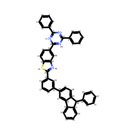 c1ccc(-c2nc(-c3ccccc3)nc(-c3ccc4sc(-c5cccc(-c6ccc7c(c6)-c6ccccc6C7c6ccccc6)c5)nc4c3)n2)cc1